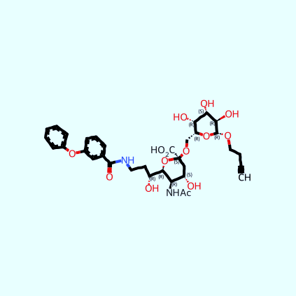 C#CCCO[C@@H]1O[C@H](CO[C@@]2(C(=O)O)C[C@H](O)[C@@H](NC(C)=O)[C@H]([C@H](O)CCNC(=O)c3cccc(Oc4ccccc4)c3)O2)[C@H](O)[C@H](O)[C@H]1O